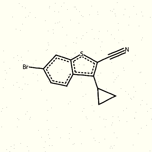 N#Cc1sc2cc(Br)ccc2c1C1CC1